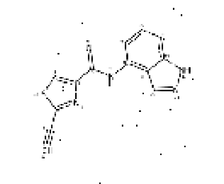 C#Cc1nc(C(=O)Nc2cccc3[nH]ncc23)cs1